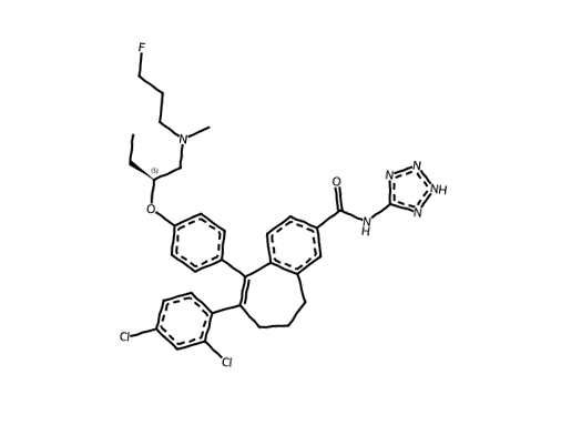 CC[C@@H](CN(C)CCCF)Oc1ccc(C2=C(c3ccc(Cl)cc3Cl)CCCc3cc(C(=O)Nc4nn[nH]n4)ccc32)cc1